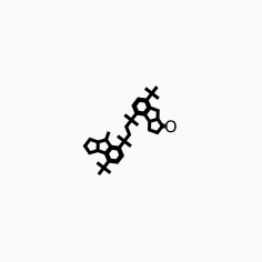 CC1c2c(C(C)(C)CCC(C)(C)c3ccc(C(C)(C)C)c4c3C3CCC(=O)C3C4)ccc(C(C)(C)C)c2C2CCCC12